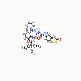 CC(C)(C)C(=O)CN1C(=O)C(NC(=O)Nc2cccc(CC(=O)S)c2)CN(C2CCCCC2)c2ccccc21